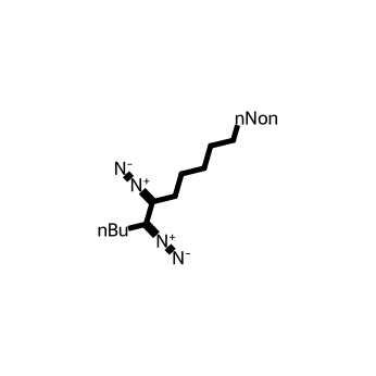 CCCCCCCCCCCCCCC(=[N+]=[N-])C(CCCC)=[N+]=[N-]